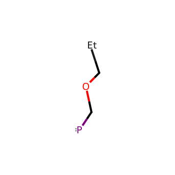 CCCOC[P]